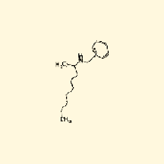 CCCCCCCC(C)NCc1ccccc1